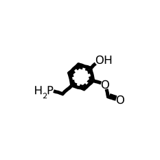 O=COc1cc(CP)ccc1O